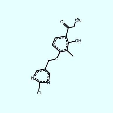 Cc1c(OCc2cnc(Cl)nc2)ccc(C(=O)CC(C)(C)C)c1O